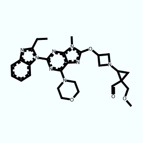 CCc1nc2ccccc2n1-c1nc(N2CCOCC2)c2nc(OC3CN(C4CC4(C=O)COC)C3)n(C)c2n1